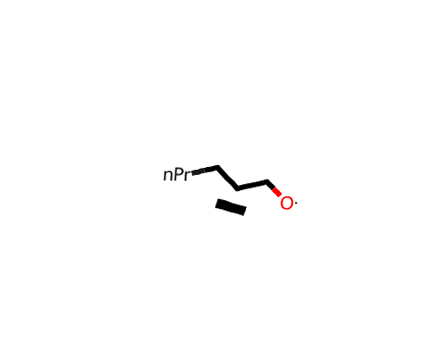 C=C.CCCCCC[O]